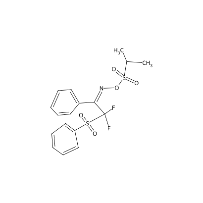 CC(C)S(=O)(=O)ON=C(c1ccccc1)C(F)(F)S(=O)(=O)c1ccccc1